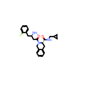 N[C@@H](CC(=O)N1Cc2ccccc2C[C@H]1C(=O)NCC1CC1)Cc1ccccc1F